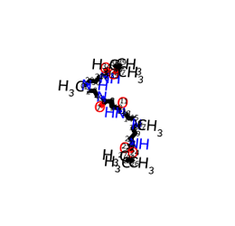 CN(CCCNC(=O)C=CC(=O)NCCCN(C)CCCNC(=O)OC(C)(C)C)CCCNC(=O)OC(C)(C)C